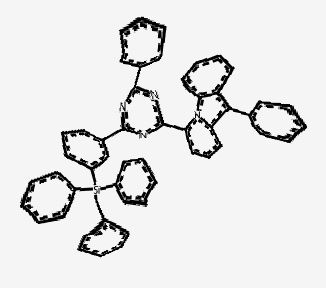 c1ccc(-c2nc(-c3cccc([Si](c4ccccc4)(c4ccccc4)c4ccccc4)c3)nc(-c3cccc4c(-c5ccccc5)c5ccccc5n34)n2)cc1